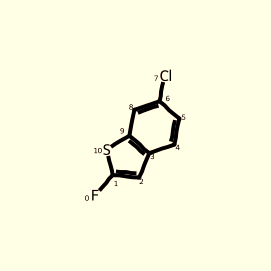 Fc1cc2ccc(Cl)cc2s1